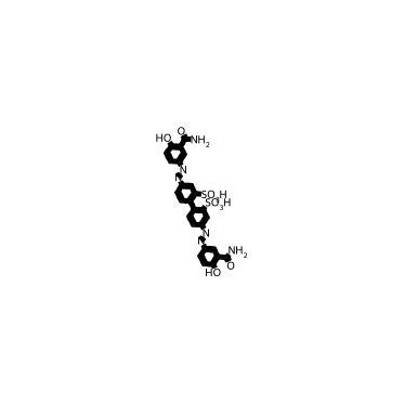 NC(=O)c1cc(N=Nc2ccc(-c3ccc(N=Nc4ccc(O)c(C(N)=O)c4)cc3S(=O)(=O)O)c(S(=O)(=O)O)c2)ccc1O